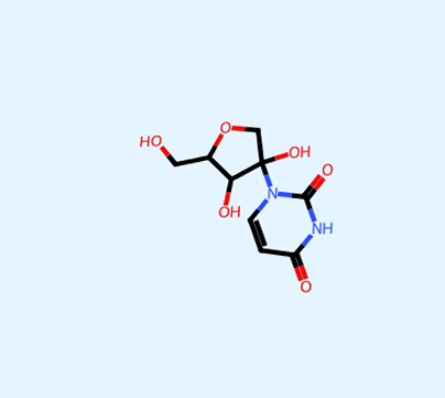 O=c1ccn(C2(O)COC(CO)C2O)c(=O)[nH]1